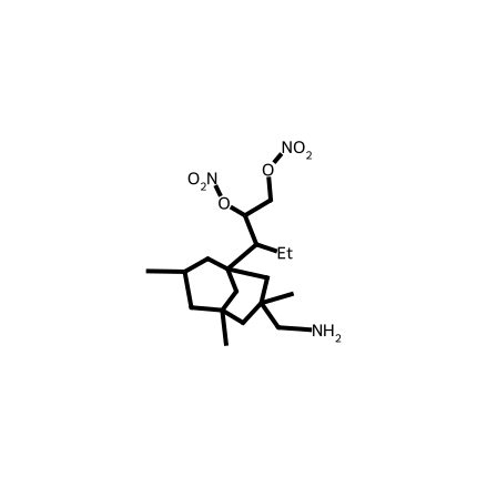 CCC(C(CO[N+](=O)[O-])O[N+](=O)[O-])C12CC(C)CC(C)(CC(C)(CN)C1)C2